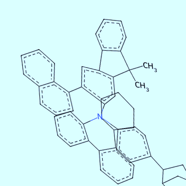 CC1(C)c2ccccc2-c2cc(-c3cccc4ccccc34)c(N(c3ccc(C4CC5CCC4C5)cc3)c3ccccc3-c3ccccc3C3CCCCC3)cc21